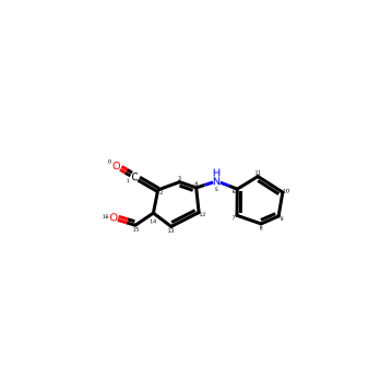 O=C=C1C=C(Nc2ccccc2)C=CC1C=O